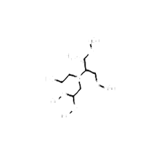 CCCCOCC([C@H](C)OCCCC)N(CCO)CC(OCCCC)OCCCC